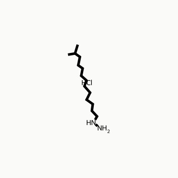 CC(C)CCCCCCCCCCCNN.Cl